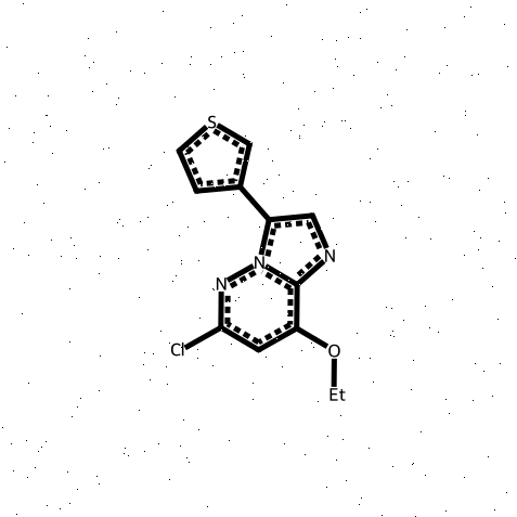 CCOc1cc(Cl)nn2c(-c3ccsc3)cnc12